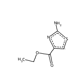 CCOC(=O)c1[c]sc(N)n1